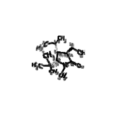 CC(C)[C@H]1[C@@H](C(C)(C)C)N(C)C(=O)[C@@H]1CO